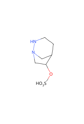 O=S(=O)(O)OC1CN2CC1CCN2